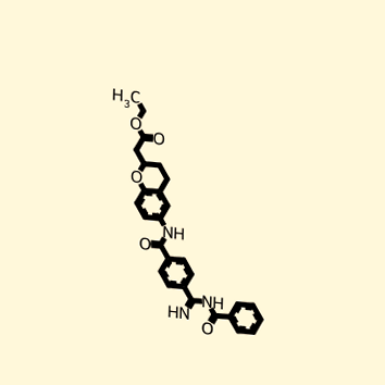 CCOC(=O)CC1CCc2cc(NC(=O)c3ccc(C(=N)NC(=O)c4ccccc4)cc3)ccc2O1